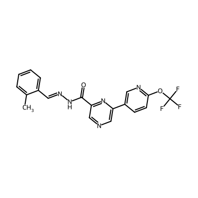 Cc1ccccc1/C=N/NC(=O)c1cncc(-c2ccc(OC(F)(F)F)nc2)n1